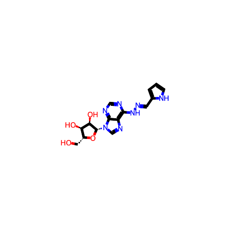 OC[C@H]1O[C@@H](n2cnc3c(NN=Cc4ccc[nH]4)ncnc32)[C@H](O)[C@@H]1O